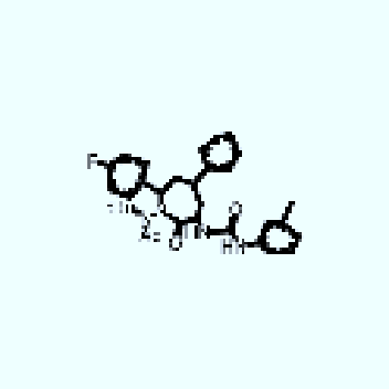 CC(=O)N(N1C(=O)C(NC(=O)Nc2cccc(C)c2)CC(c2ccccc2)CC1c1ccc(F)cc1)C(C)(C)C